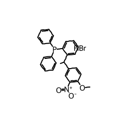 Br.COc1ccc(C(C)c2ccccc2P(c2ccccc2)c2ccccc2)cc1[N+](=O)[O-]